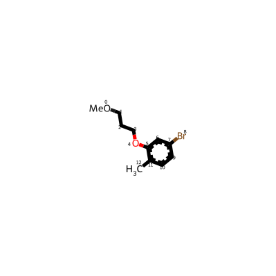 COCCCOc1cc(Br)ccc1C